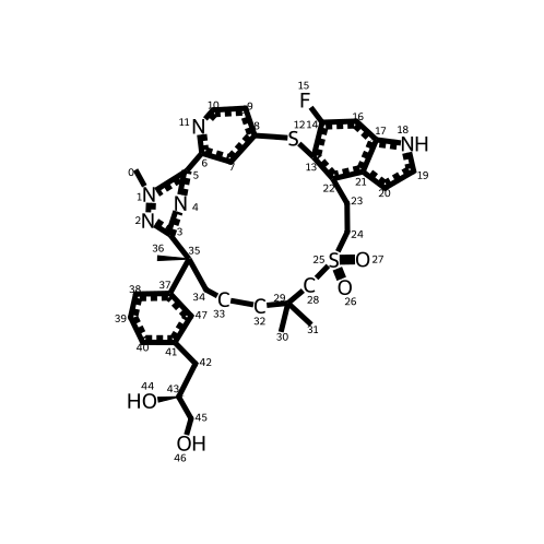 Cn1nc2nc1-c1cc(ccn1)Sc1c(F)cc3[nH]ccc3c1CCS(=O)(=O)CC(C)(C)CCC[C@]2(C)c1cccc(C[C@H](O)CO)c1